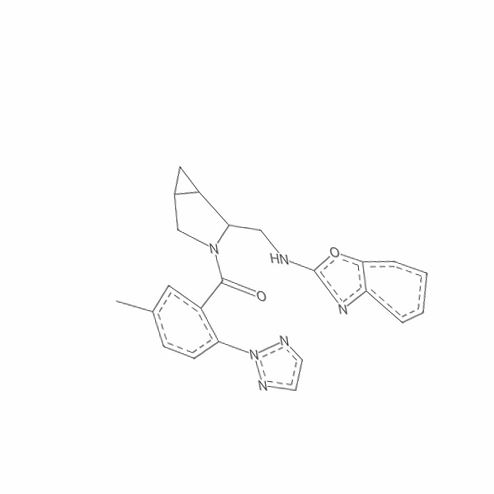 Cc1ccc(-n2nccn2)c(C(=O)N2CC3CC3C2CNc2nc3ccccc3o2)c1